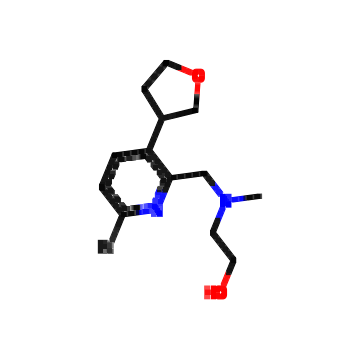 CCc1ccc(C2CCOC2)c(CN(C)CCO)n1